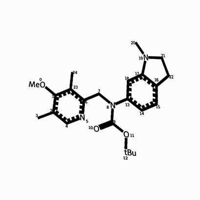 COc1c(C)cnc(CN(C(=O)OC(C)(C)C)c2ccc3c(c2)N(C)CC3)c1C